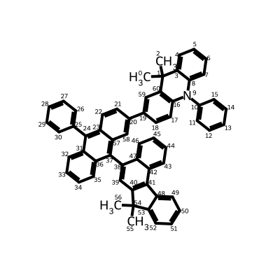 CC1(C)c2ccccc2N(c2ccccc2)c2ccc(-c3ccc4c(-c5ccccc5)c5ccccc5c(-c5cc6c(c7ccccc57)-c5ccccc5C6(C)C)c4c3)cc21